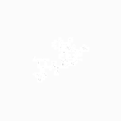 Cc1nc2cc(C(=O)NCc3ccc(F)cc3-c3ncnn3C)nn2c(-c2cc(F)c3c(c2C)CCCO3)c1[C@H](OC(C)(C)C)C(=O)O